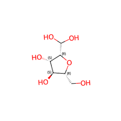 OC[C@H]1O[C@@H](C(O)O)[C@@H](O)[C@@H]1O